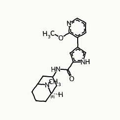 COc1ncccc1-c1c[nH]c(C(=O)NC2CC3CCC[C@H](C2)N3C)c1